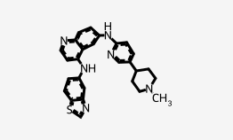 CN1CCC(c2ccc(Nc3ccc4nccc(Nc5ccc6scnc6c5)c4c3)nc2)CC1